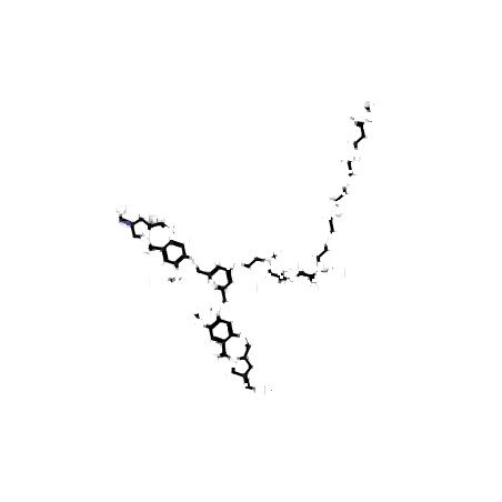 C/C=C1\CC2C=Nc3cc(OCc4cc(OCCN(C)CC(C)(C)SCC(=O)N(C)CCOCCOCCOCCOCCC(=O)OC)cc(COc5cc6c(cc5OC)C(=O)N5C/C(=C/C)C[C@H]5C=N6)n4)c(OC)cc3C(=O)N2C1